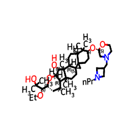 CCCN1CC(CN2CCO[C@@H](O[C@H]3CCC45C[C@]46CC[C@]4(C)[C@@H]7[C@H](O[C@@H]([C@H](OCC)C(C)(C)O)C[C@H]7C)[C@H](O)[C@@]4(C)[C@@H]6CC[C@H]5C3(C)C)C2)C1